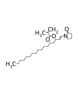 C=C(C)C(=O)OC(C=CN1CCCC1=O)CCCCCCCCCCCCCC